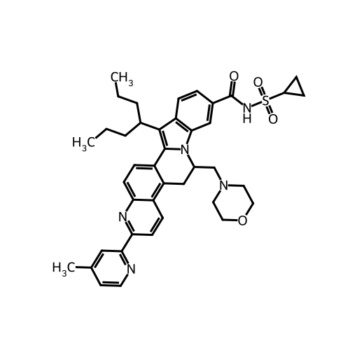 CCCC(CCC)c1c2n(c3cc(C(=O)NS(=O)(=O)C4CC4)ccc13)C(CN1CCOCC1)Cc1c-2ccc2nc(-c3cc(C)ccn3)ccc12